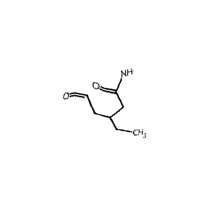 CCC(CC=O)CC([NH])=O